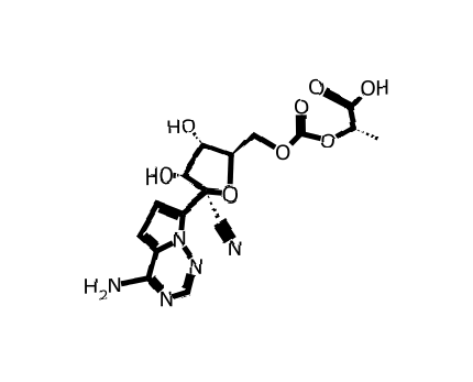 C[C@H](OC(=O)OC[C@H]1O[C@@](C#N)(c2ccc3c(N)ncnn23)[C@H](O)[C@@H]1O)C(=O)O